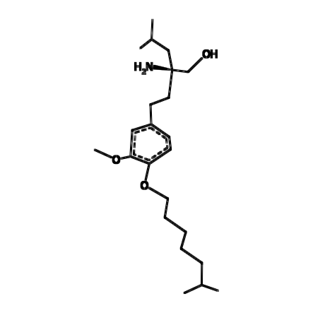 COc1cc(CC[C@@](N)(CO)CC(C)C)ccc1OCCCCCC(C)C